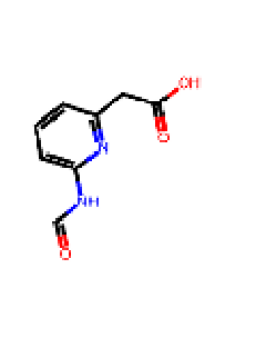 O=CNc1cccc(CC(=O)O)n1